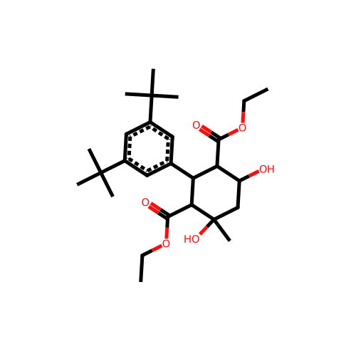 CCOC(=O)C1C(O)CC(C)(O)C(C(=O)OCC)C1c1cc(C(C)(C)C)cc(C(C)(C)C)c1